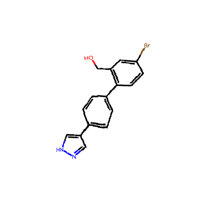 OCc1cc(Br)ccc1-c1ccc(-c2cn[nH]c2)cc1